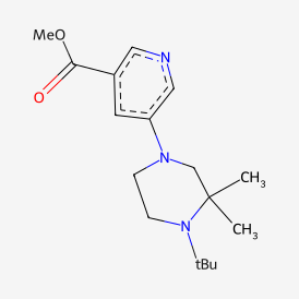 COC(=O)c1cncc(N2CCN(C(C)(C)C)C(C)(C)C2)c1